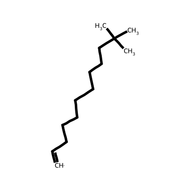 [CH]=CCCCCCCCCC(C)(C)C